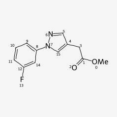 COC(=O)Cc1cnn(-c2cccc(F)c2)c1